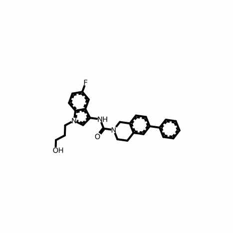 O=C(Nc1cn(CCCO)c2ccc(F)cc12)N1CCc2cc(-c3ccccc3)ccc2C1